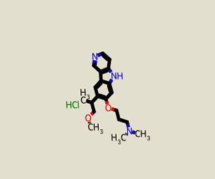 COCC(C)c1cc2c(cc1OCCCN(C)C)[nH]c1ccncc12.Cl